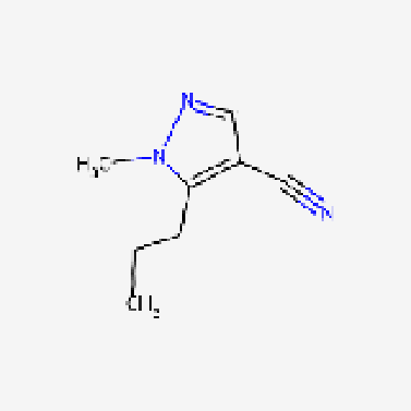 CCCc1c(C#N)[c]nn1C